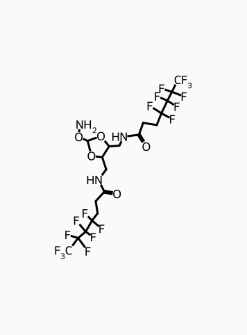 NOC1OC(CNC(=O)CCC(F)(F)C(F)(F)C(F)(F)C(F)(F)F)C(CNC(=O)CCC(F)(F)C(F)(F)C(F)(F)C(F)(F)F)O1